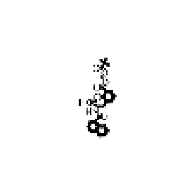 CC(C)(C)C(=O)OCOC(=O)c1cccc2c1OB(O)[C@@H](NC(=O)c1cccc3ccccc13)C2